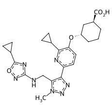 Cn1nnc(-c2ccc(O[C@H]3CCC[C@H](C(=O)O)C3)c(C3CC3)n2)c1CNc1noc(C2CC2)n1